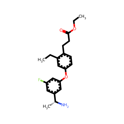 CCOC(=O)CCc1ccc(Oc2cc(F)cc([C@@H](C)N)c2)cc1CC